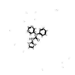 O=C(Nc1nccs1)N(c1ccccc1)c1cncnc1